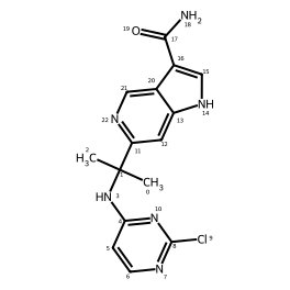 CC(C)(Nc1ccnc(Cl)n1)c1cc2[nH]cc(C(N)=O)c2cn1